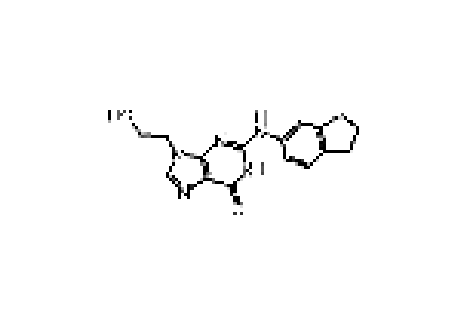 O=c1[nH]c(Nc2ccc3c(c2)CCC3)nc2c1ncn2CCO